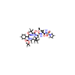 C=C[C@@H]1C[C@]1(NC(=O)[C@@H]1C[C@@]2(CN1C(=O)[C@@H](NC(=O)[C@@H](NC(=O)OC(C)(C)C)C1CCCCC1)C(C)(C)C)C(C)(C)C2(C)CCC)C(=O)NS(=O)(=O)N1CCCC1